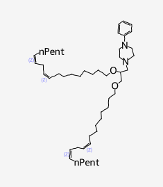 CCCCC/C=C\C/C=C\CCCCCCCCOCC(CN1CCN(c2ccccc2)CC1)OCCCCCCCC/C=C\C/C=C\CCCCC